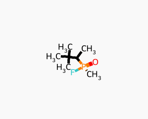 CC(C(C)(C)C)P(C)(=O)F